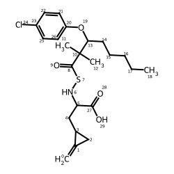 C=C1CC1CC(NSC(=O)C(C)(C)C(CCCCC)Oc1ccc(Cl)cc1)C(=O)O